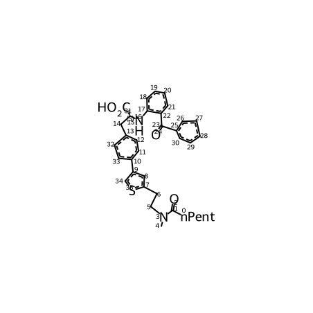 CCCCCC(=O)N(C)CCc1cc(-c2ccc(C[C@H](Nc3ccccc3C(=O)c3ccccc3)C(=O)O)cc2)cs1